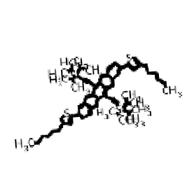 CCCCCCc1csc(-c2ccc3cc4c(C#C[Si](C(C)C)(C(C)C)C(C)C)c5cc6cc(-c7cc(CCCCCC)cs7)ccc6cc5c(C#C[Si](C(C)C)(C(C)C)C(C)C)c4cc3c2)c1